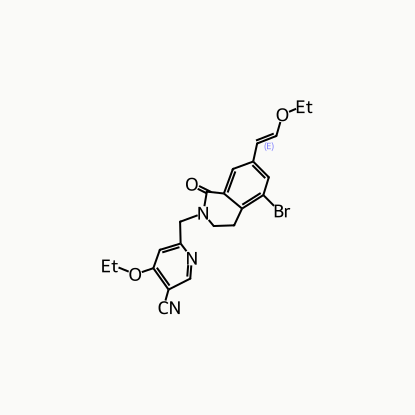 CCO/C=C/c1cc(Br)c2c(c1)C(=O)N(Cc1cc(OCC)c(C#N)cn1)CC2